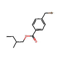 CCC(C)COC(=O)c1ccc(CBr)cc1